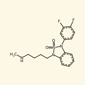 CNCCCCN1c2ccccc2N(c2ccc(F)c(F)c2)S1(=O)=O